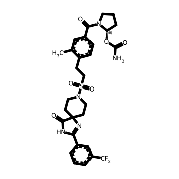 Cc1cc(C(=O)N2CCC[C@H]2OC(N)=O)ccc1CCS(=O)(=O)N1CCC2(CC1)N=C(c1cccc(C(F)(F)F)c1)NC2=O